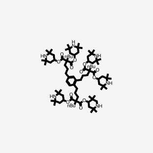 CCCCC(CCCc1ccc(CCCC(CCCC)(C(=O)OC2CC(C)(C)NC(C)(C)C2)C(=O)OC2CC(C)(C)NCC2(C)C)c(CCCC(CCCC)(C(=O)OC2CC(C)(C)NC(C)(C)C2)C(=O)OC2CC(C)(C)NC(C)(C)C2)c1)(C(=O)OC1CC(C)(C)NC(C)(C)C1)C(=O)OC1CC(C)(C)NC(C)(C)C1